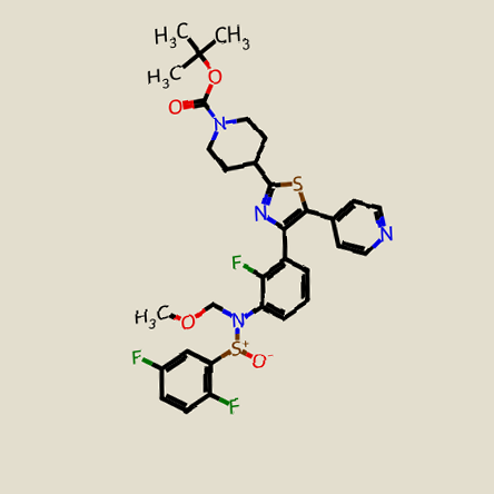 COCN(c1cccc(-c2nc(C3CCN(C(=O)OC(C)(C)C)CC3)sc2-c2ccncc2)c1F)[S+]([O-])c1cc(F)ccc1F